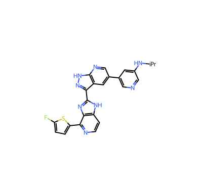 CC(C)Nc1cncc(-c2cnc3[nH]nc(-c4nc5c(-c6ccc(F)s6)nccc5[nH]4)c3c2)c1